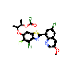 COc1cnc2c(-c3nc4c(Cl)c(F)c(OC(C)C(C)OC(=O)Cl)cc4s3)cc(Cl)cc2c1